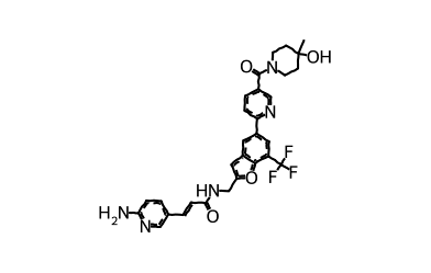 CC1(O)CCN(C(=O)c2ccc(-c3cc(C(F)(F)F)c4oc(CNC(=O)C=Cc5ccc(N)nc5)cc4c3)nc2)CC1